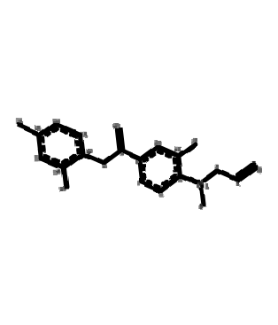 C=CCN(C)c1ccc(C(=C)Cc2ccc(C)cc2C)cc1C